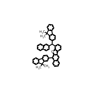 CC1(C)c2ccccc2-c2ccc(-c3c4ccccc4cc4c3oc3c(C(c5ccc6c(c5)C(C)(C)c5ccccc5-6)c5ccc6ccccc6c5)cccc34)cc21